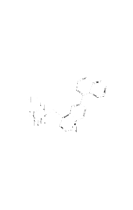 Cn1nnnc1Sc1ccnc2ccc(-c3cccc4ccccc34)cc12